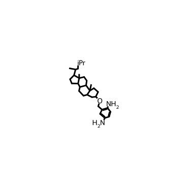 CC(C)CC(C)C1CCC2C3CCC4CC(OCc5cc(N)ccc5N)CCC4(C)C3CCC12C